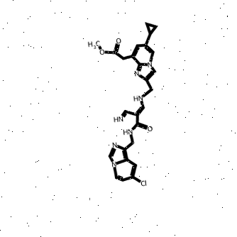 COC(=O)Cc1cc(C2CC2)cn2cc(CN/C=C(\C=N)C(=O)NCc3ncn4ccc(Cl)cc34)nc12